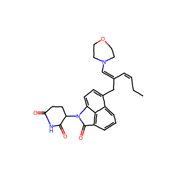 CC/C=C\C(=CN1CCOCC1)Cc1ccc2c3c(cccc13)C(=O)N2C1CCC(=O)NC1=O